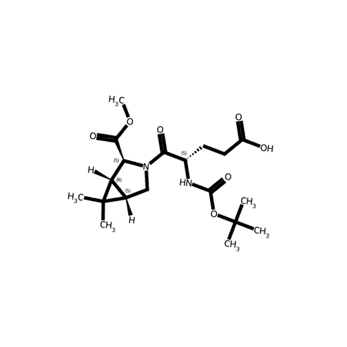 COC(=O)[C@@H]1[C@@H]2[C@H](CN1C(=O)[C@H](CCC(=O)O)NC(=O)OC(C)(C)C)C2(C)C